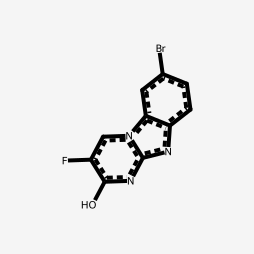 Oc1nc2nc3ccc(Br)cc3n2cc1F